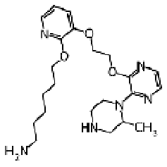 CC1CNCCN1c1nccnc1OCCOc1cccnc1OCCCCCCN